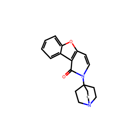 O=c1c2c(ccn1C13CCN(CC1)CC3)oc1ccccc12